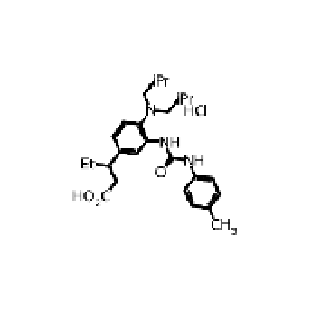 CCC(CC(=O)O)c1ccc(N(CC(C)C)CC(C)C)c(NC(=O)Nc2ccc(C)cc2)c1.Cl